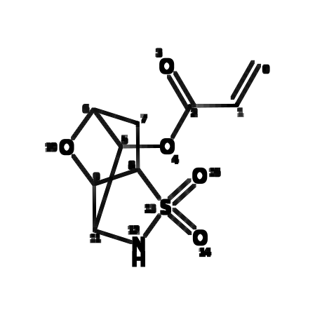 C=CC(=O)OC1C2CC3C(O2)C1NS3(=O)=O